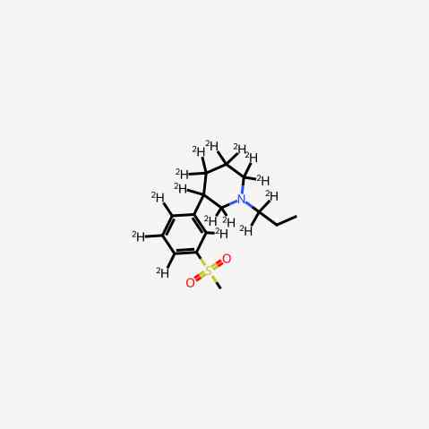 [2H]c1c([2H])c(C2([2H])C([2H])([2H])N(C([2H])([2H])CC)C([2H])([2H])C([2H])([2H])C2([2H])[2H])c([2H])c(S(C)(=O)=O)c1[2H]